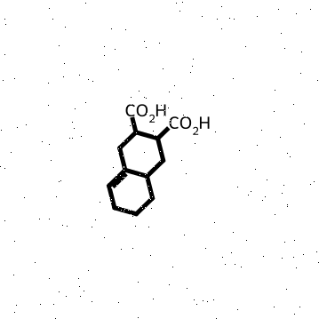 O=C(O)C1CC2=CCCCC2CC1C(=O)O